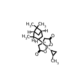 C[C@@H]1[C@H]2C[C@@H](C[C@H]1[N+]13CC(=O)O[B-]1([C@@H]1C[C@H]1C)OC(=O)C3)C2(C)C